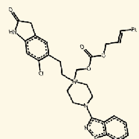 CC/C=C/COC(=O)OC[N+]1(CCc2cc3c(cc2Cl)NC(=O)C3)CCN(c2nsc3ccccc23)CC1